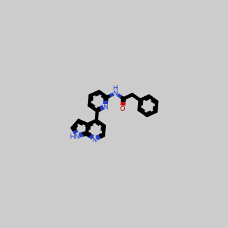 O=C(Cc1ccccc1)Nc1cccc(-c2ccnc3[nH]ccc23)n1